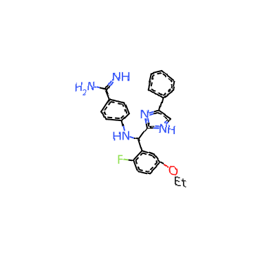 CCOc1ccc(F)c(C(Nc2ccc(C(=N)N)cc2)c2nc(-c3ccccc3)c[nH]2)c1